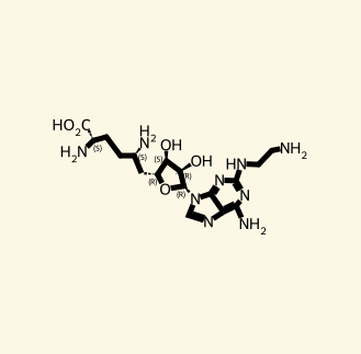 NCCNc1nc(N)c2ncn([C@@H]3O[C@H](C[C@@H](N)CC[C@H](N)C(=O)O)[C@@H](O)[C@H]3O)c2n1